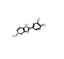 CCCN1C=Cc2[nH]c(-c3ccc(Cl)c(Cl)c3)nc2C1